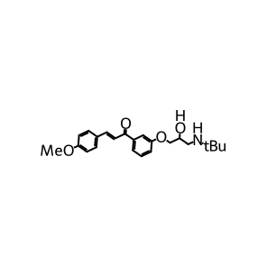 COc1ccc(C=CC(=O)c2cccc(OCC(O)CNC(C)(C)C)c2)cc1